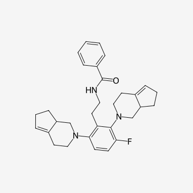 O=C(NCCc1c(N2CCC3=CCCC3C2)ccc(F)c1N1CCC2=CCCC2C1)c1ccccc1